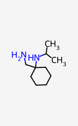 CC(C)NC1(CN)CCCCC1